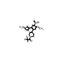 COc1cc(C2=CCN(C(=O)C(F)(F)F)CC2)c(-c2cnn(C)c2)cc1[N+](=O)[O-]